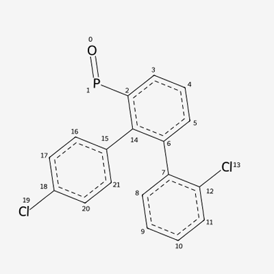 O=Pc1cccc(-c2ccccc2Cl)c1-c1ccc(Cl)cc1